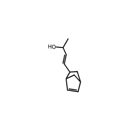 CC(O)C=CC1CC2C=CC1C2